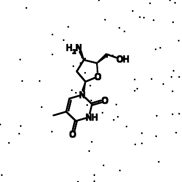 Cc1cn([C@H]2C[C@@H](N)[C@@H](CO)O2)c(=O)[nH]c1=O